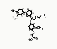 CCOCC(Oc1ccc(OCC(=O)O)c(C)c1)c1cccc(-c2ccc(C#N)c(C)c2)n1